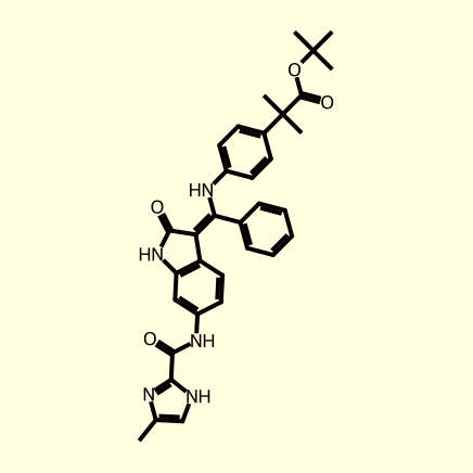 Cc1c[nH]c(C(=O)Nc2ccc3c(c2)NC(=O)/C3=C(\Nc2ccc(C(C)(C)C(=O)OC(C)(C)C)cc2)c2ccccc2)n1